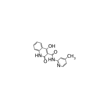 Cc1ccnc(NC(=O)c2c(O)c3ccccc3[nH]c2=O)c1